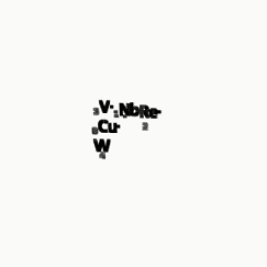 [Cu].[Nb].[Re].[V].[W]